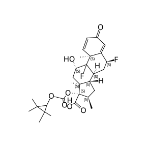 C[C@@H]1C[C@H]2[C@@H]3C[C@H](F)C4=CC(=O)C=C[C@]4(C)C3(F)[C@@H](O)C[C@]2(C)[C@]1(OC(=O)OC1C(C)(C)C1(C)C)C(=O)O